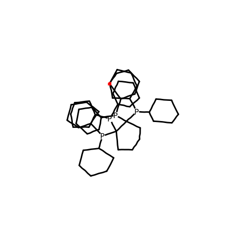 C1CCC(P(C2CCCCC2)C2(P(C3CCCCC3)C3CCCCC3)CCCCC2(P(C2CCCCC2)C2CCCCC2)P(C2CCCCC2)C2CCCCC2)CC1